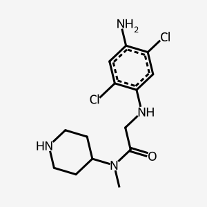 CN(C(=O)CNc1cc(Cl)c(N)cc1Cl)C1CCNCC1